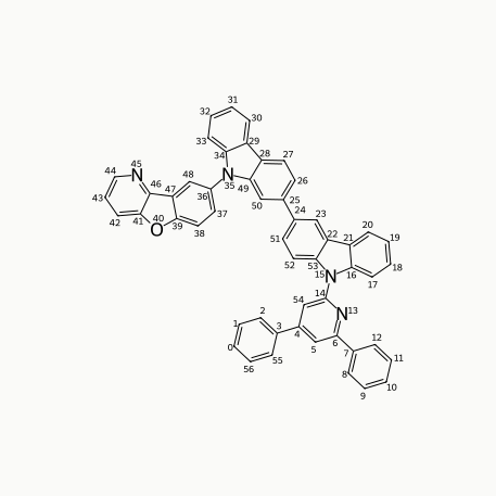 c1ccc(-c2cc(-c3ccccc3)nc(-n3c4ccccc4c4cc(-c5ccc6c7ccccc7n(-c7ccc8oc9cccnc9c8c7)c6c5)ccc43)c2)cc1